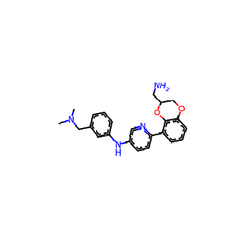 CN(C)Cc1cccc(Nc2ccc(-c3cccc4c3OC(CN)CO4)nc2)c1